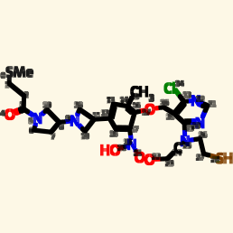 CSCCC(=O)N1CCC(N2CC(c3cc(C)c4c(c3)N(O)OOCCN(CCS)c3ncnc(Cl)c3CO4)C2)C1